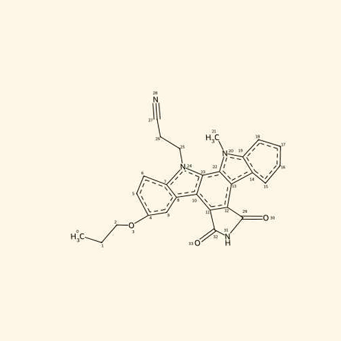 CCCOc1ccc2c(c1)c1c3c(c4c5ccccc5n(C)c4c1n2CCC#N)C(=O)NC3=O